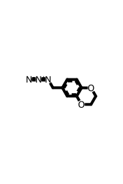 [N-]=[N+]=NCc1ccc2c(c1)OCCO2